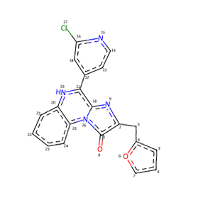 O=c1c(Cc2ccco2)nc2c(-c3ccnc(Cl)c3)[nH]c3ccccc3n1-2